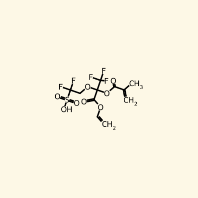 C=COC(=O)C(OCC(F)(F)S(=O)(=O)O)(OC(=O)C(=C)C)C(F)(F)F